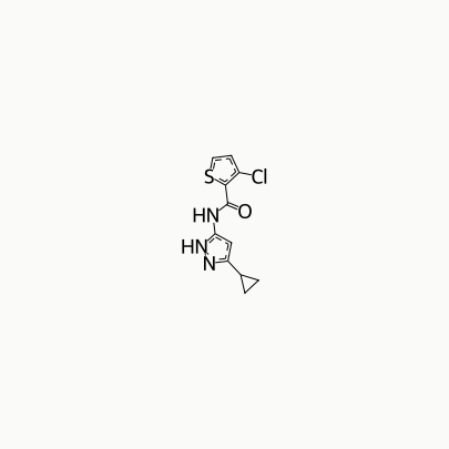 O=C(Nc1cc(C2CC2)n[nH]1)c1sccc1Cl